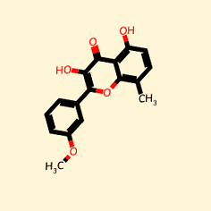 COc1cccc(-c2oc3c(C)ccc(O)c3c(=O)c2O)c1